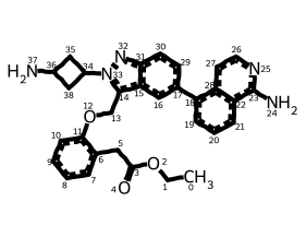 CCOC(=O)Cc1ccccc1OCc1c2cc(-c3cccc4c(N)nccc34)ccc2nn1C1CC(N)C1